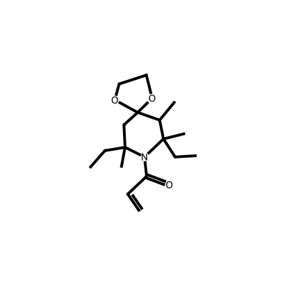 C=CC(=O)N1C(C)(CC)CC2(OCCO2)C(C)C1(C)CC